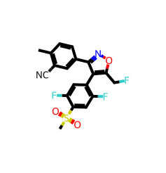 Cc1ccc(-c2noc(CF)c2-c2cc(F)c(S(C)(=O)=O)cc2F)cc1C#N